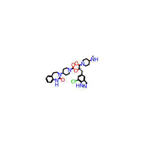 CNC1CCN(C(=O)[C@@H](Cc2cc(Cl)c3[nH]ncc3c2)OC(=O)N2CCC(N3CCc4ccccc4NC3=O)CC2)CC1